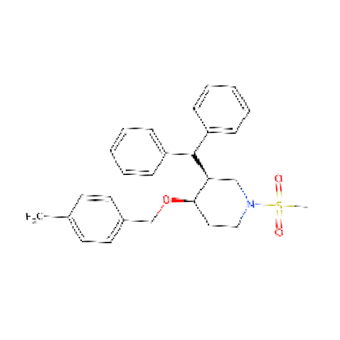 CS(=O)(=O)N1CC[C@@H](OCc2ccc(C(F)(F)F)cc2)[C@@H](C(c2ccccc2)c2ccccc2)C1